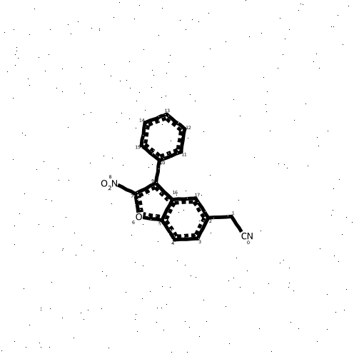 N#CCc1ccc2oc([N+](=O)[O-])c(-c3ccccc3)c2c1